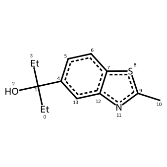 CCC(O)(CC)c1ccc2sc(C)nc2c1